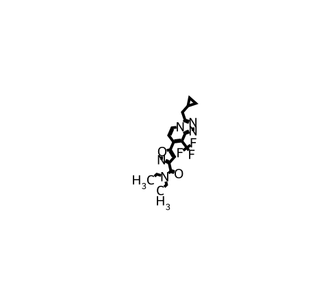 CCN(CC)C(=O)c1cc(-c2ccn3c(CC4CC4)nnc3c2C(F)(F)F)on1